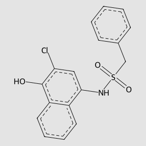 O=S(=O)(Cc1ccccc1)Nc1cc(Cl)c(O)c2ccccc12